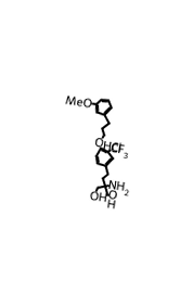 COc1cccc(CCCOc2ccc(CCC(N)(CO)CO)cc2C(F)(F)F)c1.Cl